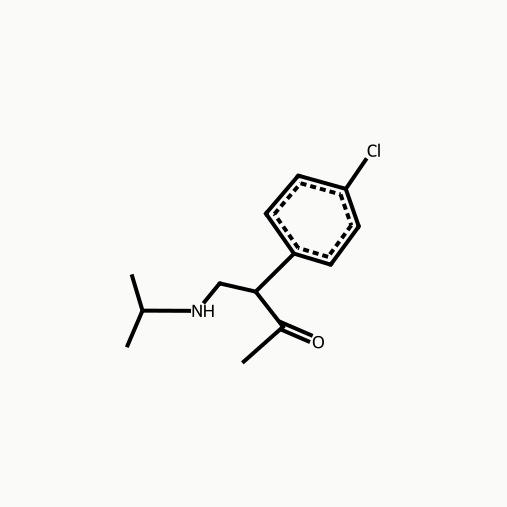 CC(=O)C(CNC(C)C)c1ccc(Cl)cc1